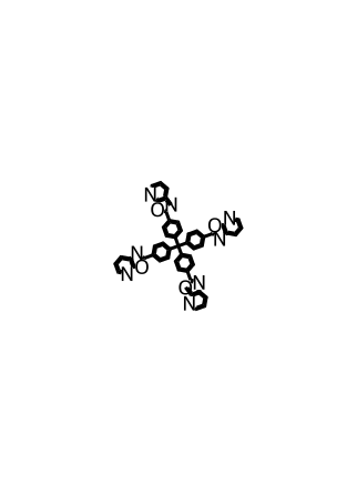 c1cnc2oc(-c3ccc(C(c4ccc(-c5nc6cccnc6o5)cc4)(c4ccc(-c5nc6cccnc6o5)cc4)c4ccc(-c5nc6cccnc6o5)cc4)cc3)nc2c1